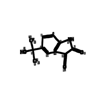 O=C1Nc2ccc(C(O)(C(F)(F)F)C(F)(F)F)cc2C1=O